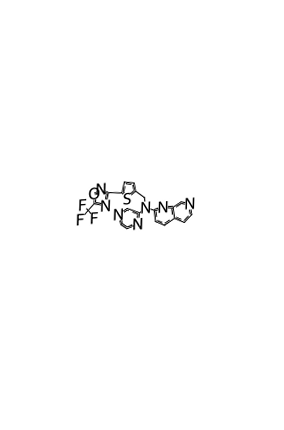 FC(F)(F)c1nc(-c2ccc(CN(c3cnccn3)c3ccc4ccncc4n3)s2)no1